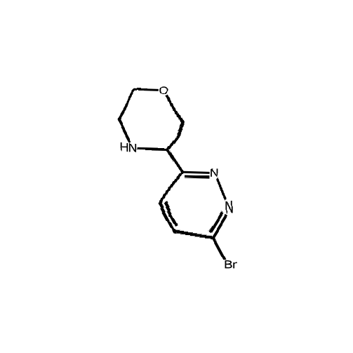 Brc1ccc(C2COCCN2)nn1